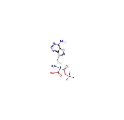 CC(C)(C)OC(=O)C(N)(CCn1cnc2c(N)ncnc21)C(=O)O